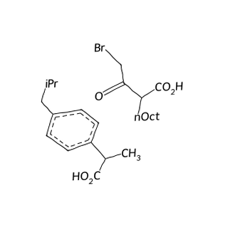 CC(C)Cc1ccc(C(C)C(=O)O)cc1.CCCCCCCCC(C(=O)O)C(=O)CBr